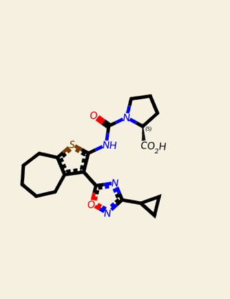 O=C(O)[C@@H]1CCCN1C(=O)Nc1sc2c(c1-c1nc(C3CC3)no1)CCCCC2